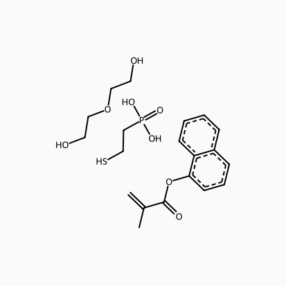 C=C(C)C(=O)Oc1cccc2ccccc12.O=P(O)(O)CCS.OCCOCCO